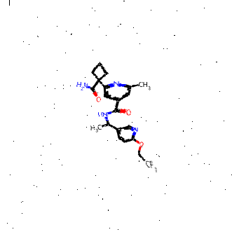 Cc1cc(C(=O)NC(C)c2ccc(OCC(F)(F)F)nc2)cc(C2(C(N)=O)CCC2)n1